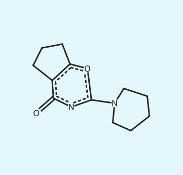 O=c1nc(N2CCCCC2)oc2c1CCC2